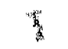 CCc1cc(OC[C@H](N)[C@@H](C)O)c(F)cc1-c1nnc(-c2cnc(NC(C)C)c(C)c2)s1